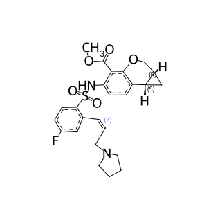 COC(=O)c1c(NS(=O)(=O)c2ccc(F)cc2/C=C\CN2CCCC2)ccc2c1OC[C@@H]1C[C@H]21